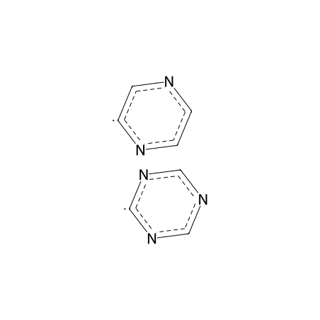 [c]1cnccn1.[c]1ncncn1